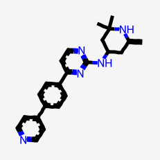 C=C1CC(Nc2nccc(-c3ccc(-c4ccncc4)cc3)n2)CC(C)(C)N1